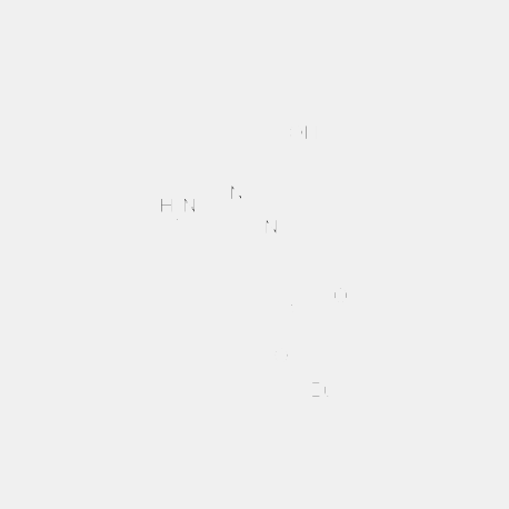 CCOC(=O)C=NN(N)C(C)O